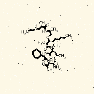 CCCCCC[C@@H](OC[C@@H](C)NC(=O)[C@@H](C)CNCCN)[C@@H](C)C(=O)N(C)[C@@H](CC(C)C)C(=O)N[C@H](C(=O)N[C@@H](CN)C(N)=O)C1CCCCCC1